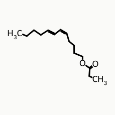 CCCC/C=C/C=C\CCCCOC(=O)CC